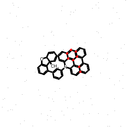 CC12C=CC=CC1Oc1cccc(-c3cccc(N(c4ccccc4-c4cccc5cccc(-c6ccccc6)c45)c4cccc5ccccc45)c3)c12